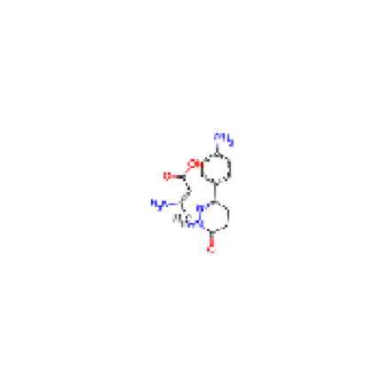 CC(N)=CC(=O)O.Nc1ccc(C2=NNC(=O)CC2)cc1